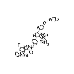 COc1ccc(F)cc1C(=O)NCc1ccc(-c2ncc(-c3ccc(OCCN4CCOCC4)cn3)c3[nH]nc(N)c23)cc1